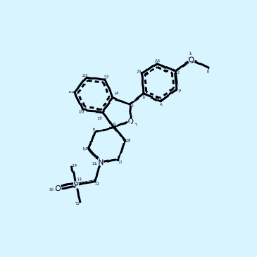 COc1ccc(C2OC3(CCN(CP(C)(C)=O)CC3)c3ccccc32)cc1